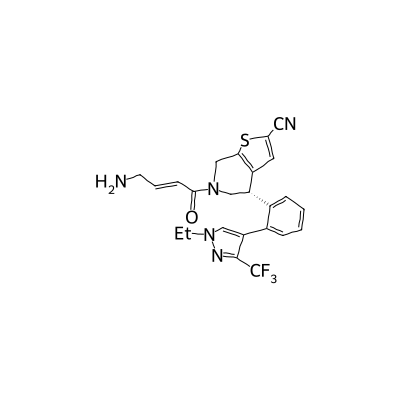 CCn1cc(-c2ccccc2[C@@H]2CN(C(=O)/C=C/CN)Cc3sc(C#N)cc32)c(C(F)(F)F)n1